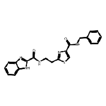 O=C(NCc1ccccc1)c1csc(CCNC(=O)c2nc3ccccc3[nH]2)n1